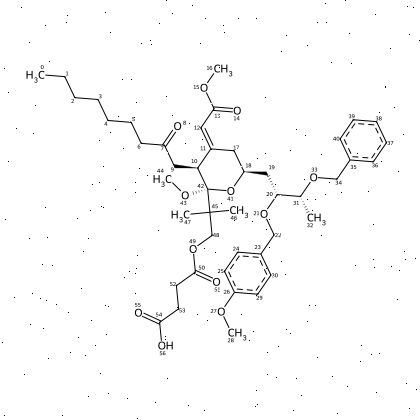 CCCCCCCC(=O)C[C@H]1/C(=C/C(=O)OC)C[C@@H](C[C@@H](OCc2ccc(OC)cc2)[C@@H](C)OCc2ccccc2)O[C@@]1(OC)C(C)(C)COC(=O)CCC(=O)O